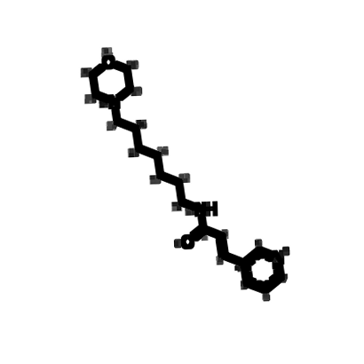 O=C(C=Cc1cccnc1)NCCCCCCCN1CCOCC1